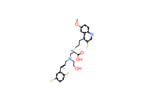 COc1ccc2ncc(F)c(CCC[C@@H](CN(C/C=C/c3cc(F)ccc3F)CCO)C(=O)O)c2c1